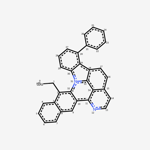 CC(C)(C)Cc1c2ccccc2cc2c3nccc4ccc5c6c(-c7ccccc7)cccc6n(c12)c5c43